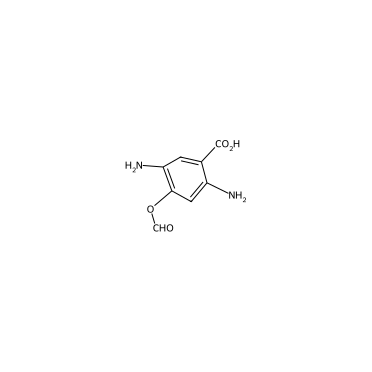 Nc1cc(C(=O)O)c(N)cc1OC=O